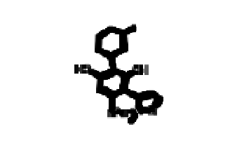 CCCCCc1cc(O)c(C2C=C(C)CCC2)c(O)c1-c1ccnn1C